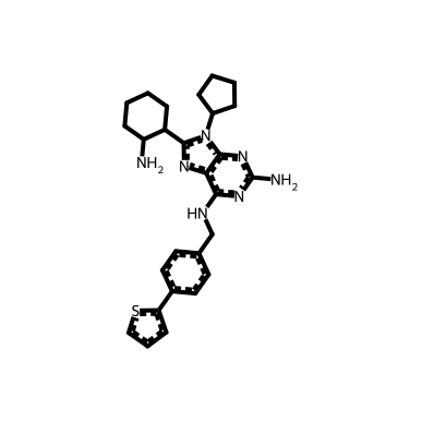 Nc1nc(NCc2ccc(-c3cccs3)cc2)c2nc(C3CCCCC3N)n(C3CCCC3)c2n1